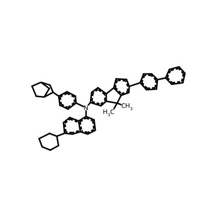 CC1(C)c2cc(-c3ccc(-c4ccccc4)cc3)ccc2-c2ccc(N(c3ccc(C4CC5CCC4C5)cc3)c3cccc4cc(C5CCCCC5)ccc34)cc21